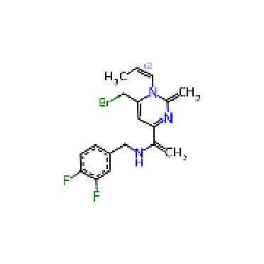 C=C(NCc1ccc(F)c(F)c1)C1=NC(=C)N(/C=C\C)C(CBr)=C1